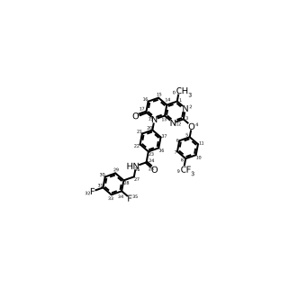 Cc1nc(Oc2ccc(C(F)(F)F)cc2)nc2c1ccc(=O)n2-c1ccc(C(=O)NCc2ccc(F)cc2F)cc1